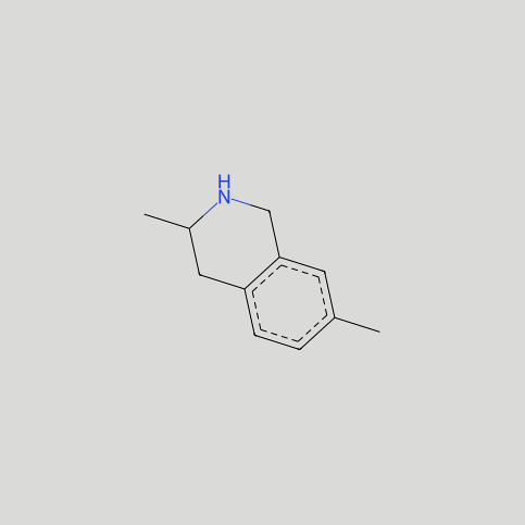 Cc1ccc2c(c1)CNC(C)C2